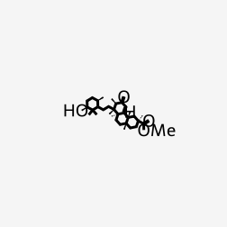 COC(=O)[C@@]1(C)CC[C@]2(C)CC[C@]3(C)C(=CC(=O)[C@H](C)[C@@]3(C)CCC3[C@H](C)CC[C@H](O)C3(C)C)[C@@H]2C1